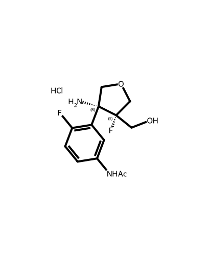 CC(=O)Nc1ccc(F)c([C@@]2(N)COC[C@@]2(F)CO)c1.Cl